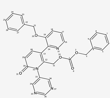 O=C(OCc1ccccc1)OCc1c(-c2ncccc2OCc2ccccc2)ccc(=O)n1-c1cncnc1